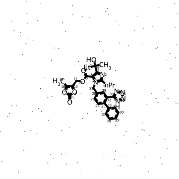 CCCc1nc(C(C)(O)CC)c(C(=O)OCc2oc(=O)oc2C)n1Cc1ccc(-c2ccccc2)c(-c2nnn[nH]2)c1